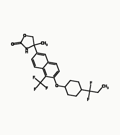 CCC(F)(F)C1CCC(Oc2ccc3cc(C4(C)COC(=O)N4)ccc3c2C(F)(F)F)CC1